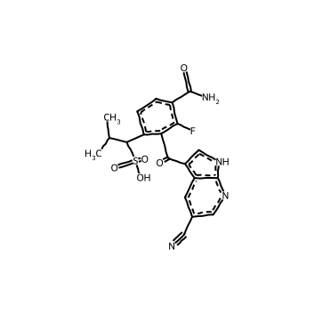 CC(C)C(c1ccc(C(N)=O)c(F)c1C(=O)c1c[nH]c2ncc(C#N)cc12)S(=O)(=O)O